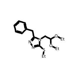 CCOC(Cn1c(Cc2ccccc2)nnc1SCC)OCC